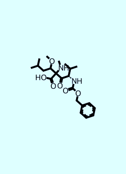 CNC(C(=O)O)(C(=O)[C@@H](NC(=O)OCc1ccccc1)C(C)C)C(CC(C)C)OC